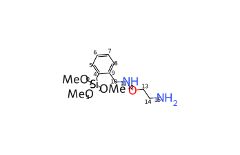 CO[Si](OC)(OC)c1ccccc1CNOCCN